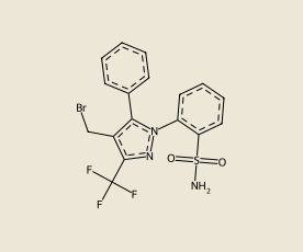 NS(=O)(=O)c1ccccc1-n1nc(C(F)(F)F)c(CBr)c1-c1ccccc1